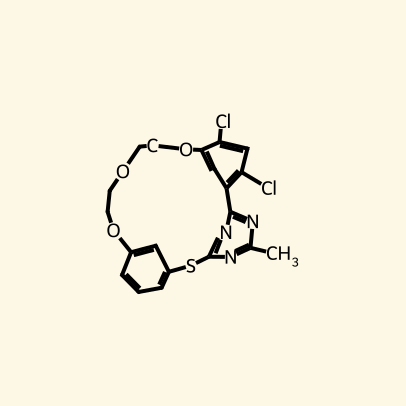 Cc1nc2nc(n1)-c1cc(c(Cl)cc1Cl)OCCOCCOc1cccc(c1)S2